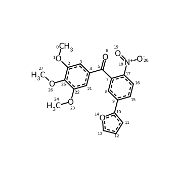 COc1cc(C(=O)c2cc(-c3ccco3)ccc2[N+](=O)[O-])cc(OC)c1OC